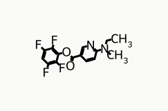 CCN(C)c1ccc(C(=O)Oc2c(F)c(F)cc(F)c2F)cn1